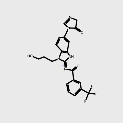 O=C(/N=c1\[nH]c2cc(N3C=NCC3=O)ccc2n1CCCO)c1cccc(C(F)(F)F)c1